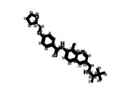 Cc1c(NC(=O)c2ccc(OC[C@@H]3CCCO3)cc2)ccc2cc(CN[C@H](C)C(C)(C)C)cnc12